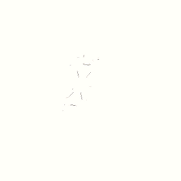 Oc1c(Br)cc(Oc2ccc(Cl)cc2)cc1Br